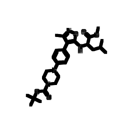 COC(=O)C(CC(C)C)Nc1onc(C)c1-c1ccc(N2CCN(C(=O)OC(C)(C)C)CC2)cc1